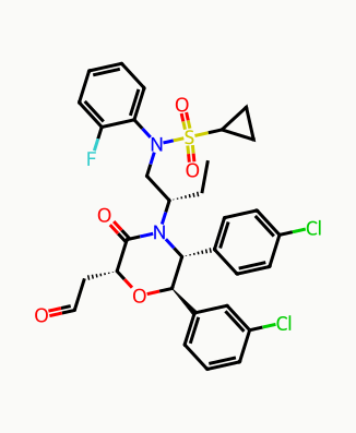 CC[C@@H](CN(c1ccccc1F)S(=O)(=O)C1CC1)N1C(=O)[C@@H](CC=O)O[C@H](c2cccc(Cl)c2)[C@H]1c1ccc(Cl)cc1